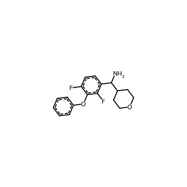 NC(c1ccc(F)c(Oc2ccccc2)c1F)C1CCOCC1